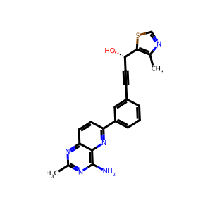 Cc1nc(N)c2nc(-c3cccc(C#C[C@H](O)c4scnc4C)c3)ccc2n1